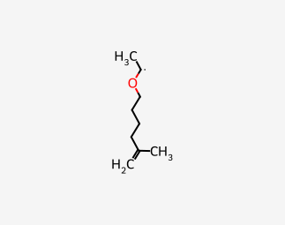 C=C(C)CCCCO[CH]C